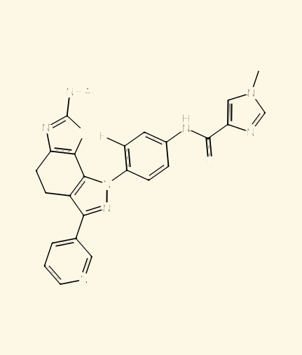 CC(=O)Nc1nc2c(s1)-c1c(c(-c3cccnc3)nn1-c1ccc(NC(=O)c3cn(C)cn3)cc1F)CC2